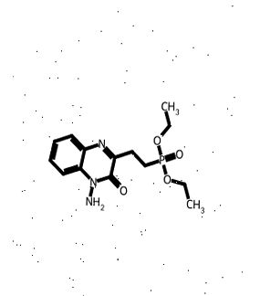 CCOP(=O)(CCc1nc2ccccc2n(N)c1=O)OCC